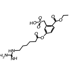 CCOC(=O)c1ccc(OC(=O)CCCCCNC(=N)N)cc1CS(=O)(=O)O